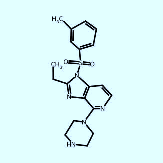 CCc1nc2c(N3CCNCC3)nccc2n1S(=O)(=O)c1cccc(C)c1